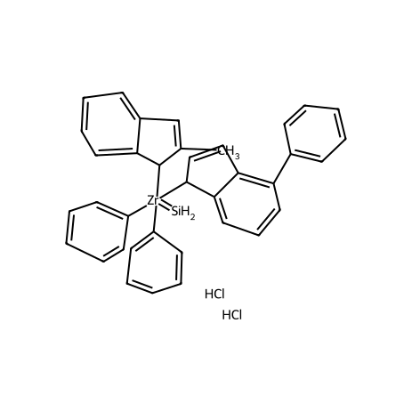 CC1=Cc2ccccc2[CH]1[Zr](=[SiH2])([c]1ccccc1)([c]1ccccc1)[CH]1C=Cc2c(-c3ccccc3)cccc21.Cl.Cl